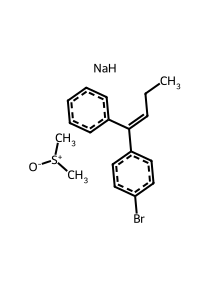 CC/C=C(\c1ccccc1)c1ccc(Br)cc1.C[S+](C)[O-].[NaH]